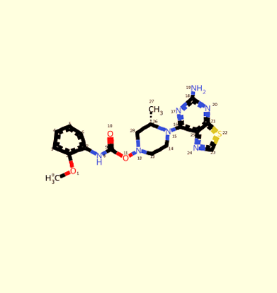 COc1ccccc1NC(=O)ON1CCN(c2nc(N)nc3scnc23)[C@@H](C)C1